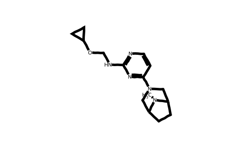 CN1C2CCC1CN(c1ccnc(NCOC3CC3)n1)C2